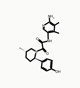 Cc1c(NC(=O)C(=O)N2C[C@@H](C)CC[C@@H]2c2ccc(O)cc2)cnc(N)c1C